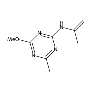 C=C(C)Nc1nc(C)nc(OC)n1